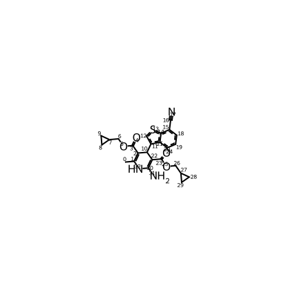 CC1=C(C(=O)OCC2CC2)C(c2csc3c(C#N)cccc23)C(C(=O)OCC2CC2)=C(N)N1